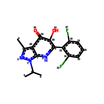 Cc1nn(C(C)C)c2[nH]c(-c3c(F)cccc3F)c(O)c(=O)c12